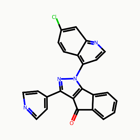 O=C1c2ccccc2-c2c1c(-c1ccncc1)nn2-c1ccnc2cc(Cl)ccc12